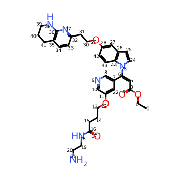 CCOC(=O)C=C(c1cncc(OCCCC(=O)NCCN)c1)n1ccc2cc(OCCc3ccc4c(n3)NCCC4)ccc21